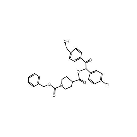 O=C(OC(C(=O)c1ccc(CO)cc1)c1ccc(Cl)cc1)C1CCN(C(=O)OCc2ccccc2)CC1